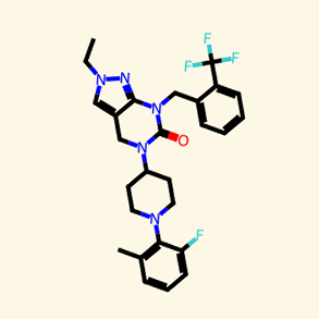 CCn1cc2c(n1)N(Cc1ccccc1C(F)(F)F)C(=O)N(C1CCN(c3c(C)cccc3F)CC1)C2